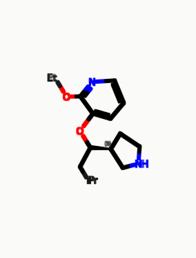 CCOc1ncccc1OC(CC(C)C)[C@H]1CCNC1